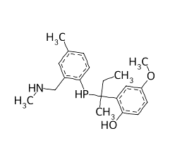 CCC(C)(Pc1ccc(C)cc1CNC)c1cc(OC)ccc1O